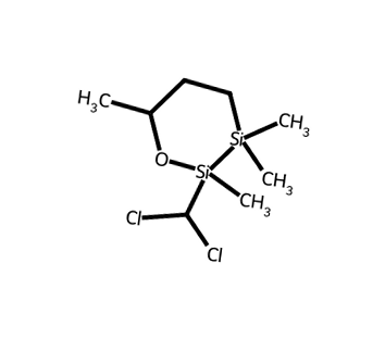 CC1CC[Si](C)(C)[Si](C)(C(Cl)Cl)O1